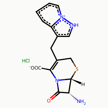 Cl.N[C@@H]1C(=O)N2C(C(=O)[O-])=C(Cc3c[nH][n+]4ccccc34)CS[C@H]12